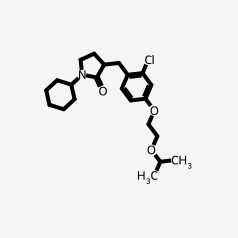 CC(C)OCCOc1ccc(CC2CCN(C3CCCCC3)C2=O)c(Cl)c1